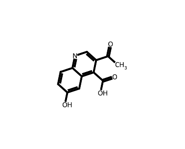 CC(=O)c1cnc2ccc(O)cc2c1C(=O)O